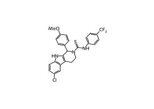 COc1ccc(C2c3[nH]c4ccc(Cl)cc4c3CCN2C(=S)Nc2ccc(C(F)(F)F)cc2)cc1